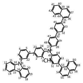 Cc1cc(-c2cccc(-n3c4ccccc4c4ccccc43)c2)ccc1N(c1ccc(-c2ccc(-c3cccc4ccccc34)cc2)cc1)c1ccc(-c2cccc3ccccc23)cc1